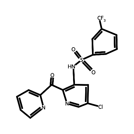 O=C(c1ccccn1)c1ncc(Cl)cc1NS(=O)(=O)c1cccc(C(F)(F)F)c1